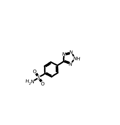 NS(=O)(=O)c1ccc(-c2nn[nH]n2)cc1